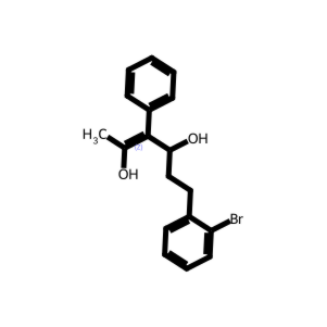 C/C(O)=C(\c1ccccc1)C(O)CCc1ccccc1Br